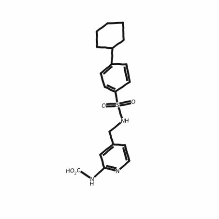 O=C(O)Nc1cc(CNS(=O)(=O)c2ccc(C3CCCCC3)cc2)ccn1